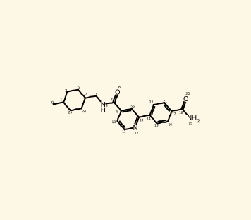 CC1CCC(CNC(=O)c2ccnc(-c3ccc(C(N)=O)cc3)c2)CC1